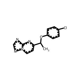 CC(Oc1ccc(Cl)cc1)c1ccn2ncnc2n1